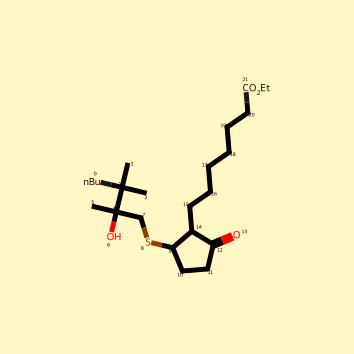 CCCCC(C)(C)C(C)(O)CSC1CCC(=O)C1CCCCCCC(=O)OCC